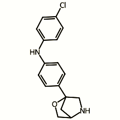 Clc1ccc(Nc2ccc(C34CNC(CO3)C4)cc2)cc1